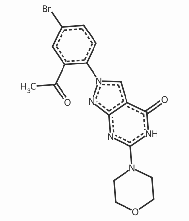 CC(=O)c1cc(Br)ccc1-n1cc2c(=O)[nH]c(N3CCOCC3)nc2n1